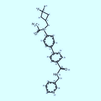 CC(=O)N(CC1CC(F)(F)C1)c1ccc(-c2ccc(C(=O)NCc3cccnc3)cn2)cc1